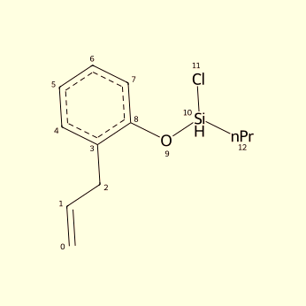 C=CCc1ccccc1O[SiH](Cl)CCC